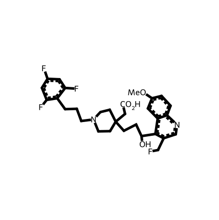 COc1ccc2ncc(CF)c(C(O)CCC3(CC(=O)O)CCN(CCCc4c(F)cc(F)cc4F)CC3)c2c1